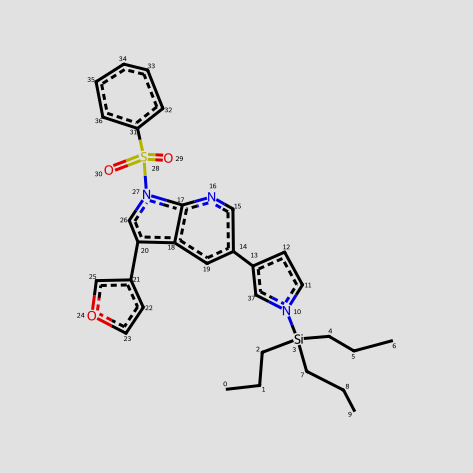 CCC[Si](CCC)(CCC)n1ccc(-c2cnc3c(c2)c(-c2ccoc2)cn3S(=O)(=O)c2ccccc2)c1